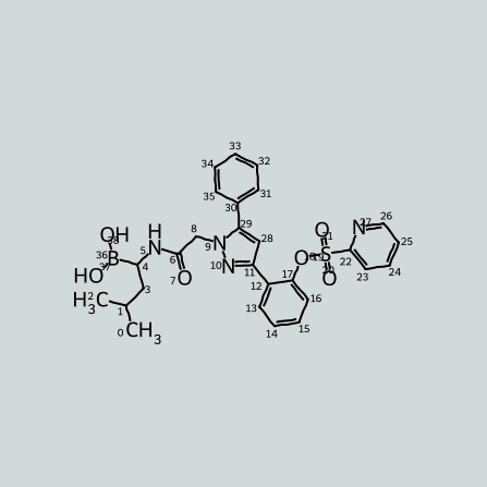 CC(C)CC(NC(=O)Cn1nc(-c2ccccc2OS(=O)(=O)c2ccccn2)cc1-c1ccccc1)B(O)O